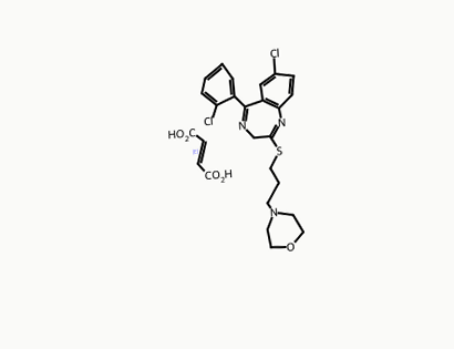 Clc1ccc2c(c1)C(c1ccccc1Cl)=NCC(SCCCN1CCOCC1)=N2.O=C(O)/C=C/C(=O)O